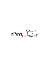 CC/C=C(/OCCCCC)C(=O)O